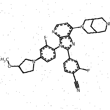 COC1CCN(c2ccc(-n3c(-c4ccc(C#N)c(F)c4)nc4c(N5CC6CNCC(C6)C5)ccnc43)c(F)c2)C1